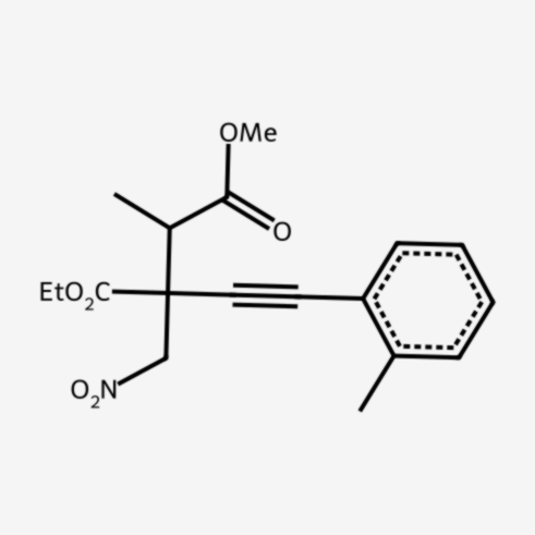 CCOC(=O)C(C#Cc1ccccc1C)(C[N+](=O)[O-])C(C)C(=O)OC